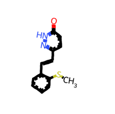 CSc1ccccc1C=Cc1ccc(=O)[nH]n1